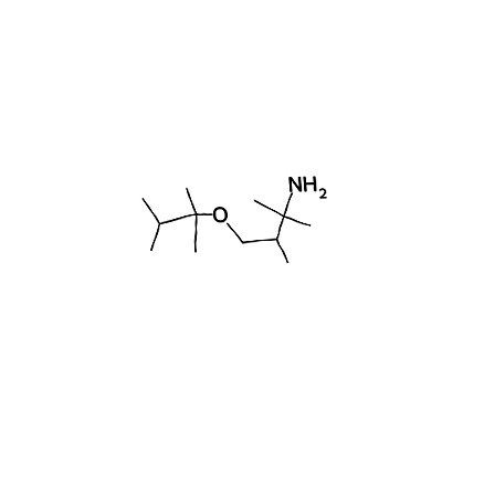 CC(COC(C)(C)C(C)C)C(C)(C)N